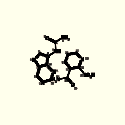 NC(=O)Nn1cnc2cncnc21.NC(=O)c1cccnc1S(=O)(=O)O